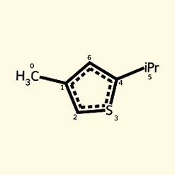 Cc1csc(C(C)C)c1